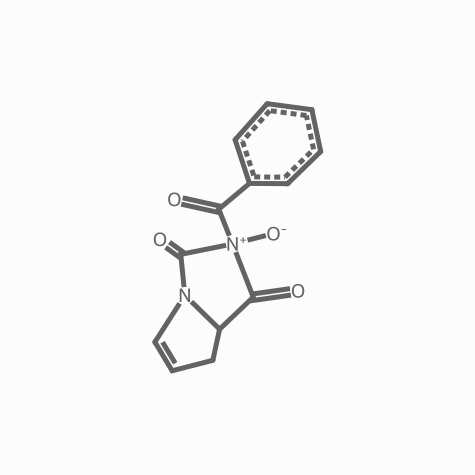 O=C(c1ccccc1)[N+]1([O-])C(=O)C2CC=CN2C1=O